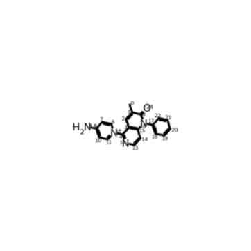 Cc1cc2c(-[n+]3ccc(N)cc3)nccc2n(-c2ccccc2)c1=O